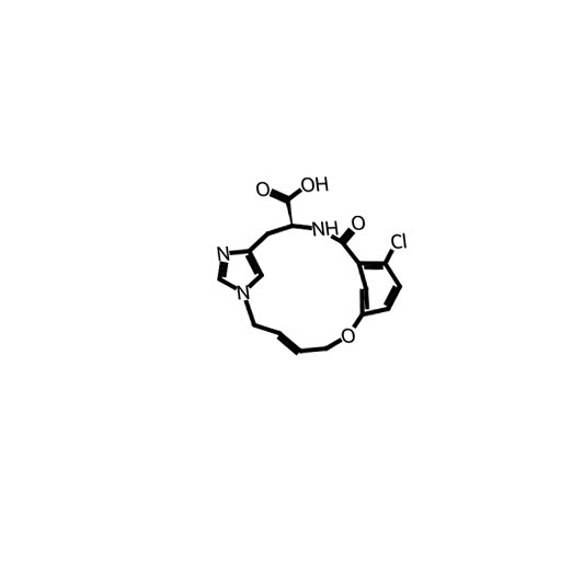 O=C1N[C@H](C(=O)O)Cc2cn(cn2)C/C=C/COc2ccc(Cl)c1c2